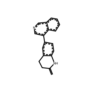 C=C1CCc2cc(-c3cncc4ccccc34)ccc2N1